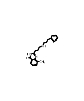 Cc1cccc2c(=O)[nH]c(CCCNCCCc3ccccc3)nc12